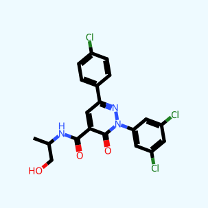 CC(CO)NC(=O)c1cc(-c2ccc(Cl)cc2)nn(-c2cc(Cl)cc(Cl)c2)c1=O